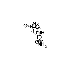 C=C(/C=C\C(=C/C)NC(=O)c1c(C)sc2ncn(CCOC)c(=O)c12)S(N)(=O)=O